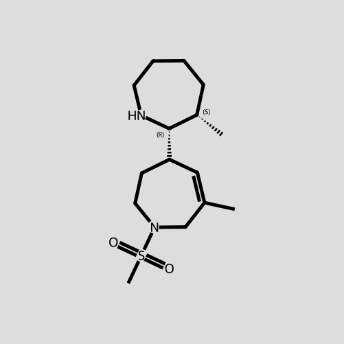 CC1=CC([C@@H]2NCCCC[C@@H]2C)CCN(S(C)(=O)=O)C1